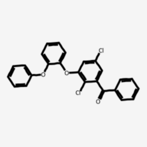 O=C(c1ccccc1)c1cc(Cl)cc(Oc2ccccc2Oc2ccccc2)c1Cl